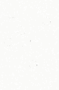 CNCCCN1c2ccccc2CCc2ccccc21.OC(CNCC(O)C1CCc2cc(F)ccc2O1)C1CCc2cc(F)ccc2O1